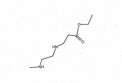 CCOC(=O)CCNCCNC